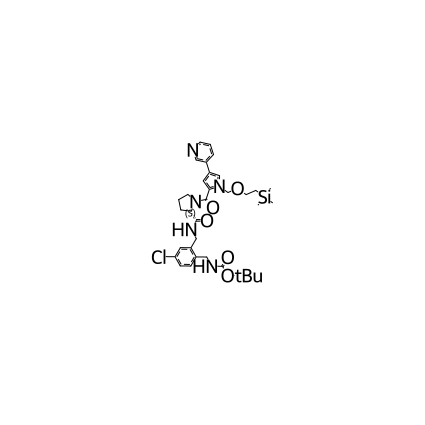 CC(C)(C)OC(=O)NCc1ccc(Cl)cc1CNC(=O)[C@@H]1CCCN1C(=O)c1cc(-c2cccnc2)cn1COCC[Si](C)(C)C